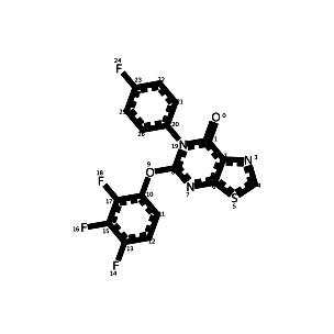 O=c1c2ncsc2nc(Oc2ccc(F)c(F)c2F)n1-c1ccc(F)cc1